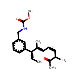 C\C=C(/C(C)=C/C=C\C(C)C(=O)OC)c1cccc(CNC(=O)OC(C)(C)C)c1